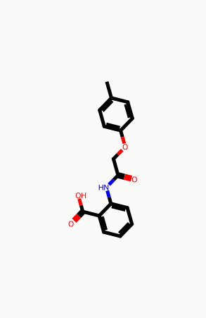 Cc1ccc(OCC(=O)Nc2ccccc2C(=O)O)cc1